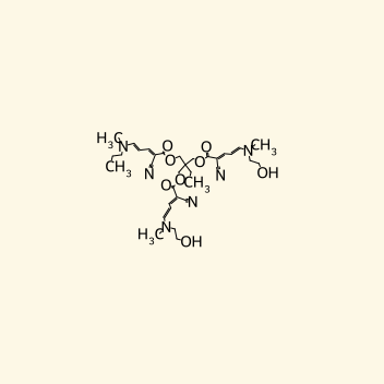 CCCN(C)/C=C/C=C(\C#N)C(=O)OCC(CC)(COC(=O)/C(C#N)=C/C=C/N(C)CCO)COC(=O)/C(C#N)=C/C=C/N(C)CCO